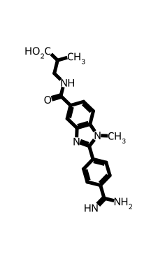 CC(CNC(=O)c1ccc2c(c1)nc(-c1ccc(C(=N)N)cc1)n2C)C(=O)O